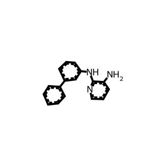 Nc1cccnc1Nc1cccc(-c2ccccc2)c1